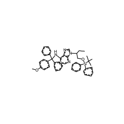 CCC(CO[Si](c1ccccc1)(c1ccccc1)C(C)(C)C)n1cnc2c(NC(c3ccccc3)(c3ccccc3)c3ccc(OC)cc3)ncnc21